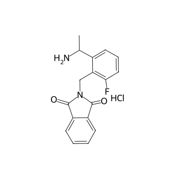 CC(N)c1cccc(F)c1CN1C(=O)c2ccccc2C1=O.Cl